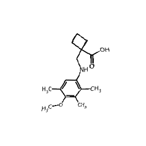 COc1c(C)cc(NCC2(C(=O)O)CCC2)c(C)c1C